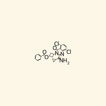 N[C@H](c1nc2c(Cl)ccc(Cl)c2c(=O)n1C1CC(OC(=O)c2ccccc2)C1)C1CC1